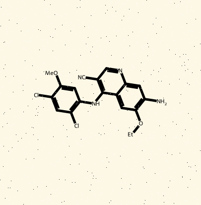 CCOc1cc2c(Nc3cc(OC)c(Cl)cc3Cl)c(C#N)cnc2cc1N